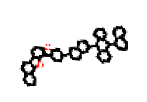 c1ccc2c(-c3c4ccccc4c(-c4ccc5cc(-c6ccc7c(c6)oc6ccc8c9ccc%10ccccc%10c9oc8c67)ccc5c4)c4ccccc34)cccc2c1